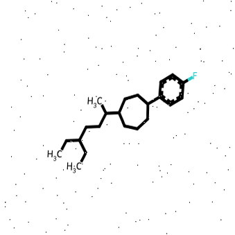 CCC(CC)CCC(C)C1CCCC(c2ccc(F)cc2)CC1